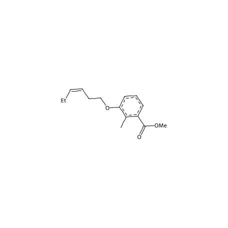 CC/C=C\CCOc1cccc(C(=O)OC)c1C